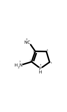 N#CC1=C(N)PCC1